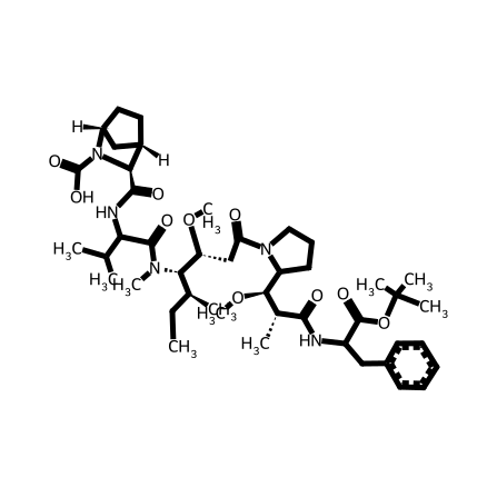 CC[C@H](C)[C@@H]([C@@H](CC(=O)N1CCCC1[C@H](OC)[C@@H](C)C(=O)NC(Cc1ccccc1)C(=O)OC(C)(C)C)OC)N(C)C(=O)C(NC(=O)[C@@H]1[C@H]2CC[C@H](C2)N1C(=O)O)C(C)C